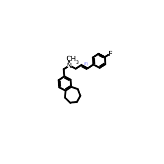 CN(C/C=C/c1ccc(F)cc1)Cc1ccc2c(c1)CCCCC2